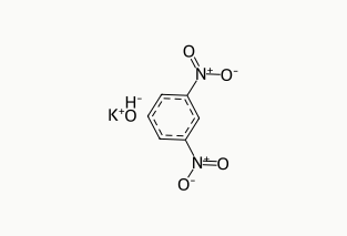 O=[N+]([O-])c1cccc([N+](=O)[O-])c1.[K+].[OH-]